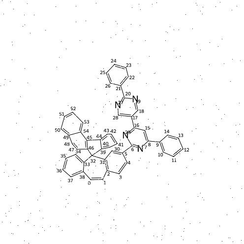 C1=Cc2ccc(-c3nc(-c4ccccc4)cc(-c4cnc(-c5ccccc5)nc4)n3)cc2C2(c3ccccc31)c1ccccc1-c1c2ccc2ccccc12